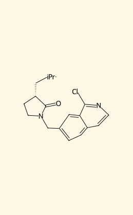 C[C](C)C[C@H]1CCN(Cc2ccc3ccnc(Cl)c3c2)C1=O